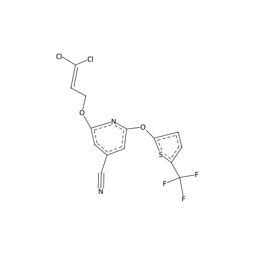 N#Cc1cc(OCC=C(Cl)Cl)nc(Oc2ccc(C(F)(F)F)s2)c1